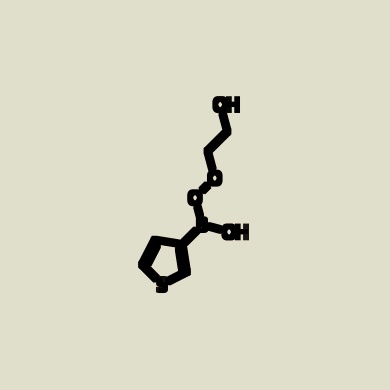 OCCOOB(O)c1ccsc1